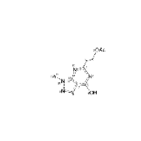 CC(=O)OCCc1nc(O)c2cnn(C(C)C)c2n1